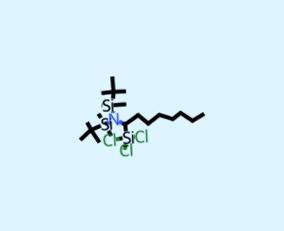 CCCCCCCC(N([Si](C)(C)C(C)(C)C)[Si](C)(C)C(C)(C)C)[Si](Cl)(Cl)Cl